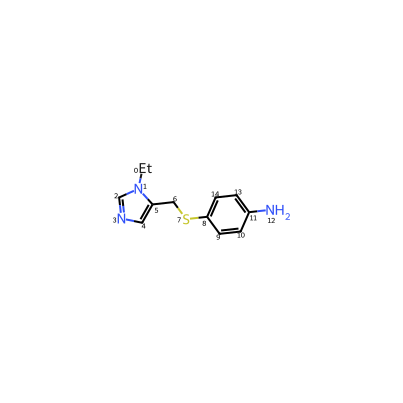 CCn1cncc1CSc1ccc(N)cc1